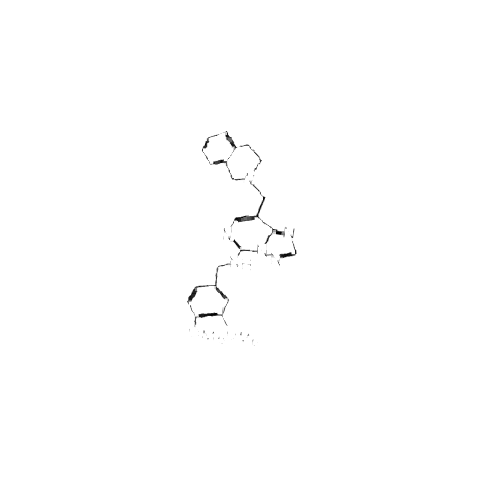 COc1ccc(CNc2ncc(CN3CCc4ccccc4C3)c3ncnn23)cc1OC